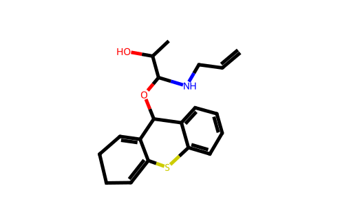 C=CCNC(OC1C2=CCCC=C2Sc2ccccc21)C(C)O